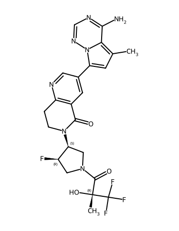 Cc1cc(-c2cnc3c(c2)C(=O)N([C@H]2CN(C(=O)[C@@](C)(O)C(F)(F)F)C[C@H]2F)CC3)n2ncnc(N)c12